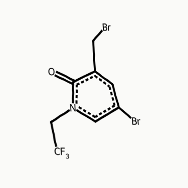 O=c1c(CBr)cc(Br)cn1CC(F)(F)F